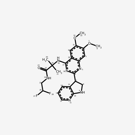 COc1cc2nc(C3CNc4ncccc43)nc(NC(C)(C)C(=O)NCC(F)F)c2cc1OC